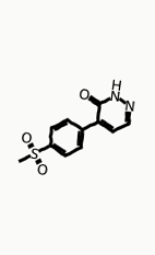 CS(=O)(=O)c1ccc(-c2ccn[nH]c2=O)cc1